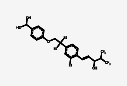 CCc1cc(C(CC)(CC)COc2ccc(C(O)O)cc2)ccc1C=CC(O)C(C(F)(F)F)C(F)(F)F